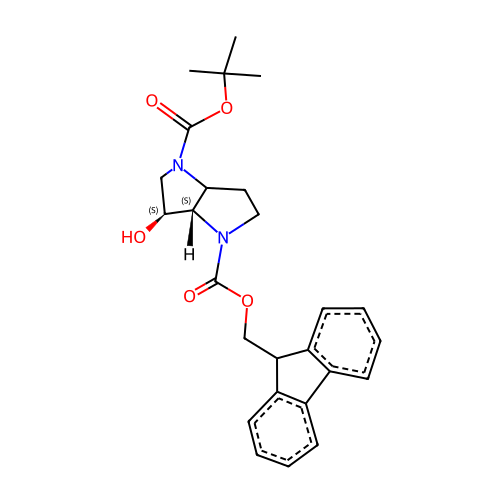 CC(C)(C)OC(=O)N1C[C@H](O)[C@@H]2C1CCN2C(=O)OCC1c2ccccc2-c2ccccc21